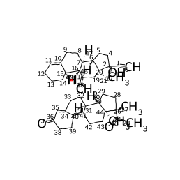 C#C[C@]1(O)CC[C@H]2[C@@H]3CCC4=CCCC[C@@H]4[C@H]3C(=C)C[C@@]21CC.CC(=O)[C@@]1(C)CC[C@H]2[C@@H]3CCC4=CC(=O)CCC4=C3CC[C@@]21C